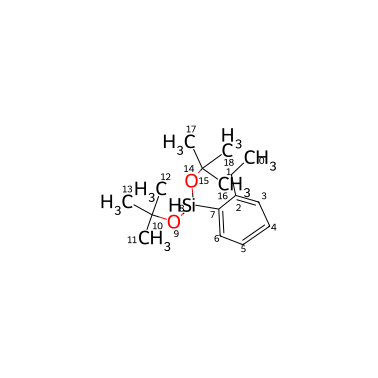 CCc1ccccc1[SiH](OC(C)(C)C)OC(C)(C)C